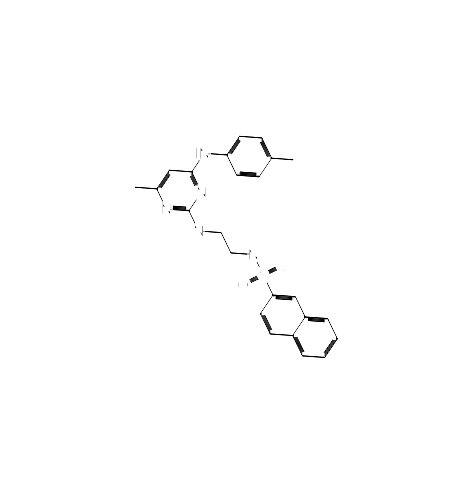 Cc1ccc(Nc2cc(C)nc(NCCNS(=O)(=O)c3ccc4ccccc4c3)n2)cc1